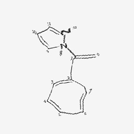 C=C(c1ccccc1)n1cccn1